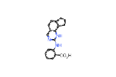 O=C(O)c1ccccc1Nc1ncc2ccc3cccc3c2[nH]1